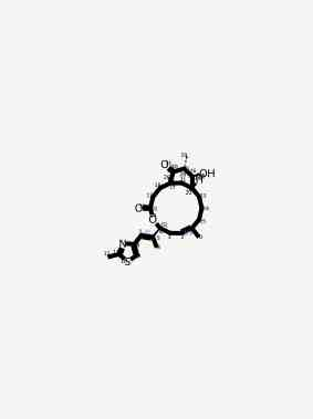 C/C1=C/C[C@@H](/C(C)=C/c2csc(C)n2)OC(=O)CCC2(C)C[C@@H](CCC1)[C@H](O)[C@@H](C)C2=O